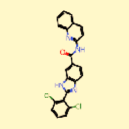 O=C(Nc1ccc2ccccc2n1)c1ccc2nc(-c3c(Cl)cccc3Cl)[nH]c2c1